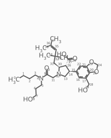 CCCCN(CCCO)C(=O)CN1C[C@H](c2cc(CO)c3c(c2)OCO3)[C@@H](C(=O)O)[C@@H]1CC(C)(C)C=C(C)C